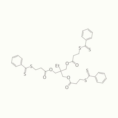 CCC(COC(=O)CCSC(=S)c1ccccc1)(COC(=O)CCSC(=S)c1ccccc1)COC(=O)CCSC(=S)c1ccccc1